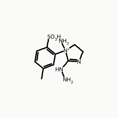 Cc1ccc(S(=O)(=O)O)c([N+]2(N)CCN=C2NN)c1